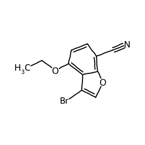 CCOc1ccc(C#N)c2occ(Br)c12